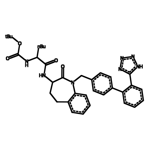 CCCCC(NC(=O)OC(C)(C)C)C(=O)NC1CCc2ccccc2N(Cc2ccc(-c3ccccc3-c3nnn[nH]3)cc2)C1=O